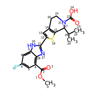 COC(=O)c1cc(F)cc2[nH]c(-c3cc4c(s3)C(C(C)C)N(C(=O)O)CC4)nc12